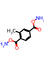 Cc1cc(C(=O)ON)ccc1C(=O)ON